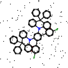 Fc1ccc(-c2cc(-c3ccc(F)cc3)c(N3c4ccccc4[Si](c4ccccc4)(c4ccccc4)c4ccccc43)cc2N2c3ccccc3[Si](c3ccccc3)(c3ccccc3)c3ccccc32)cc1